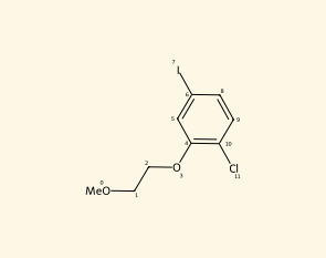 COCCOc1cc(I)ccc1Cl